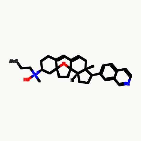 COCC[N+](C)(O)[C@H]1CCC2=CC3=CC[C@]4(C)[C@@H](c5ccc6ccncc6c5)CC[C@H]4[C@@]34CC[C@]2(C1)O4